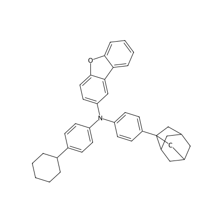 c1ccc2c(c1)oc1ccc(N(c3ccc(C4CCCCC4)cc3)c3ccc(C45CC6CC(CC4C6)C5)cc3)cc12